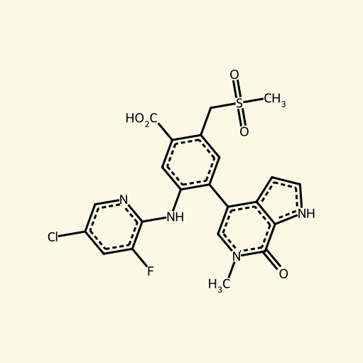 Cn1cc(-c2cc(CS(C)(=O)=O)c(C(=O)O)cc2Nc2ncc(Cl)cc2F)c2cc[nH]c2c1=O